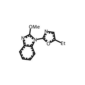 CCc1cnc(-n2c(OC)nc3ccccc32)o1